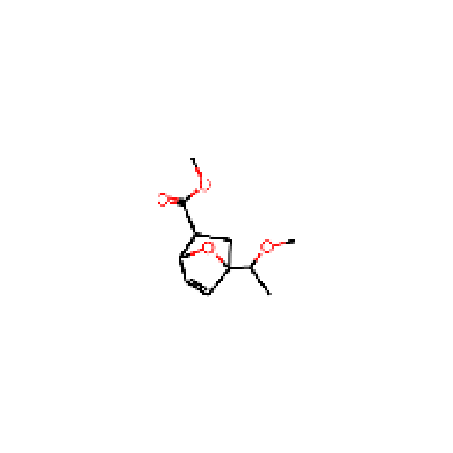 COC(=O)C1CC2(C(C)OC)C=CC1O2